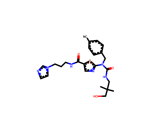 CC(C)(CO)CNC(=O)N(Cc1ccc(C#N)cc1)c1ncc(C(=O)NCCCn2ccnc2)s1